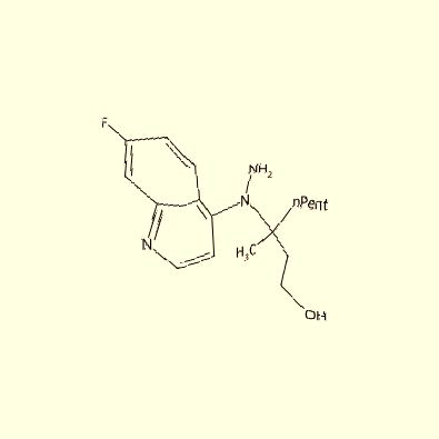 CCCCCC(C)(CCO)N(N)c1ccnc2cc(F)ccc12